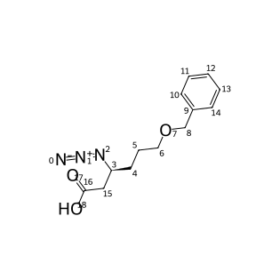 [N-]=[N+]=N[C@@H](CCCOCc1ccccc1)CC(=O)O